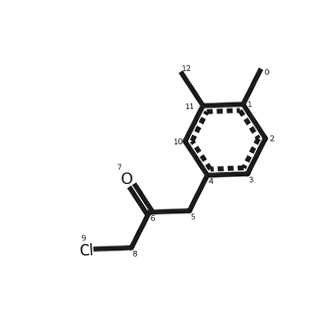 Cc1ccc(CC(=O)CCl)cc1C